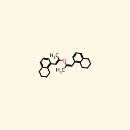 CC(=Cc1cccc2c1CCCC2)OC(C)=Cc1cccc2c1CCCC2